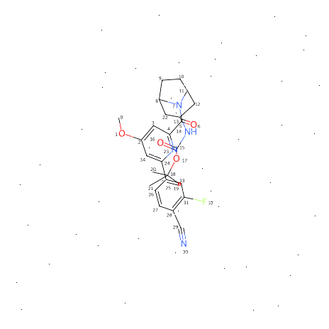 COc1cc(C(=O)N2C3CCC2CC(NC(=O)OC(C)(C)C)C3)nc(-c2ccc(C#N)c(F)c2)c1